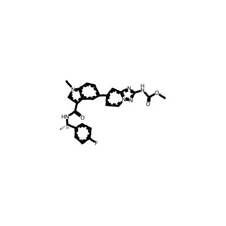 COC(=O)Nc1nc2cc(-c3ccc4c(c3)c(C(=O)N[C@@H](C)c3ccc(F)cc3)cn4C)ccn2n1